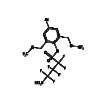 CC(=O)c1cc(COC(F)(F)F)c(OS(=O)(=O)C(F)(F)C(F)(F)C(F)(F)S(=O)(=O)O)c(COC(F)(F)F)c1